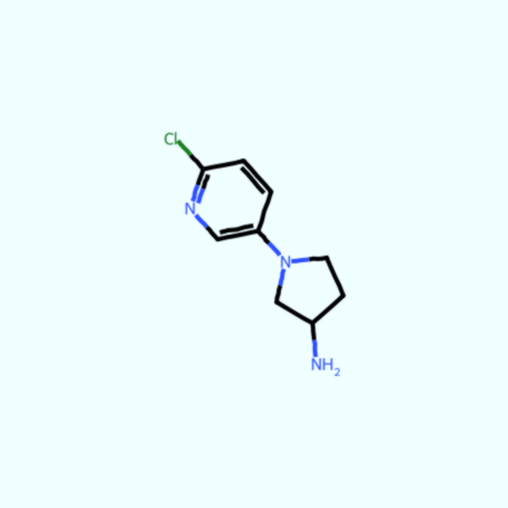 NC1CCN(c2ccc(Cl)nc2)C1